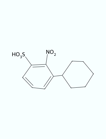 O=[N+]([O-])c1c(C2CCCCC2)cccc1S(=O)(=O)O